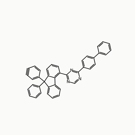 c1ccc(C2(c3ccccc3)c3ccccc3-c3c(-c4ncnc(-c5ccc(-c6ccccc6)cc5)n4)cccc32)cc#1